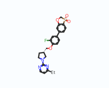 CCc1ccnc(N2CC[C@H](COc3ccc(-c4ccc5c(c4)OCS5(=O)=O)cc3F)C2)n1